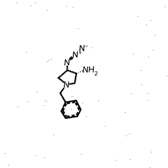 [N-]=[N+]=NC1CN(Cc2ccccc2)C[C@H]1N